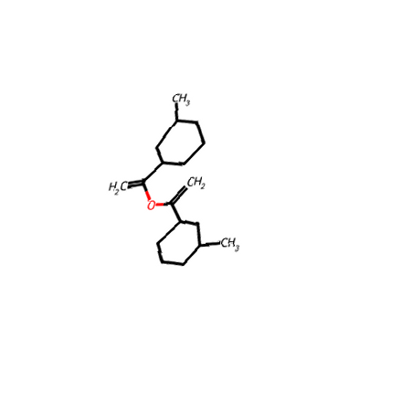 C=C(OC(=C)C1CCCC(C)C1)C1CCCC(C)C1